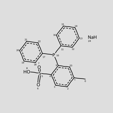 Cc1ccc(S(=O)(=O)O)c(P(c2ccccc2)c2ccccc2)c1.[NaH]